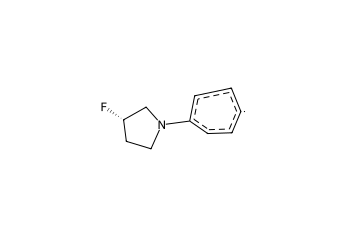 F[C@H]1CCN(c2cc[c]cc2)C1